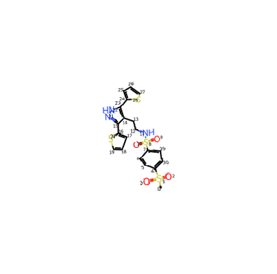 CS(=O)(=O)c1ccc(S(=O)(=O)NCCc2c(-c3cccs3)n[nH]c2-c2cccs2)cc1